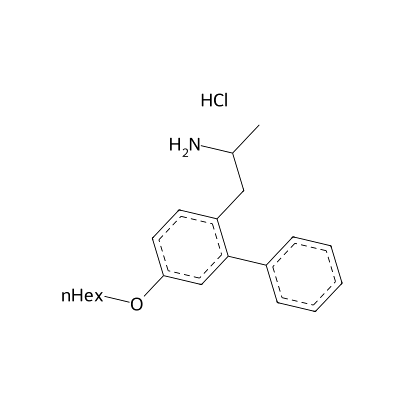 CCCCCCOc1ccc(CC(C)N)c(-c2ccccc2)c1.Cl